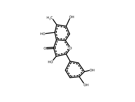 Cc1c(O)cc2oc(-c3ccc(O)c(O)c3)c(O)c(=O)c2c1O